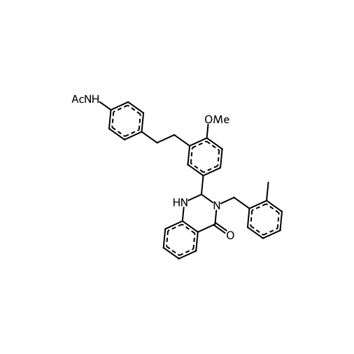 COc1ccc(C2Nc3ccccc3C(=O)N2Cc2ccccc2C)cc1CCc1ccc(NC(C)=O)cc1